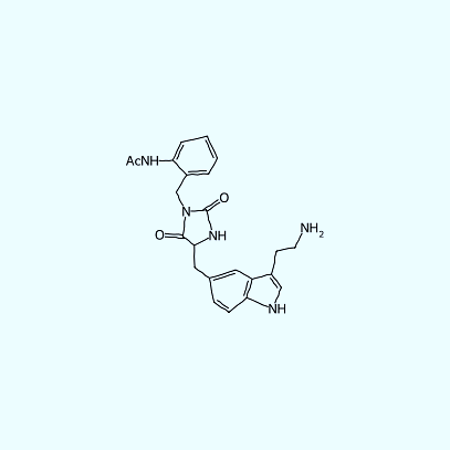 CC(=O)Nc1ccccc1CN1C(=O)NC(Cc2ccc3[nH]cc(CCN)c3c2)C1=O